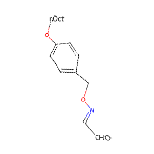 CCCCCCCCOc1ccc(CON=C[C]=O)cc1